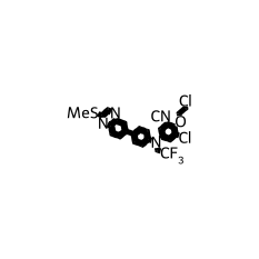 CSc1cnc2cc(-c3ccc(N(CC(F)(F)F)c4cc(Cl)c(OCCCl)c(C#N)c4)cc3)ccc2n1